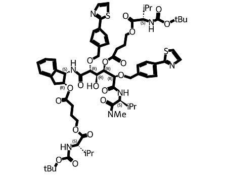 CNC(=O)[C@@H](NC(=O)[C@H](OCc1ccc(-c2nccs2)cc1)[C@H](OC(=O)CCCOC(=O)[C@@H](NC(=O)OC(C)(C)C)C(C)C)[C@@H](O)[C@@H](OCc1ccc(-c2nccs2)cc1)C(=O)N[C@H]1c2ccccc2C[C@H]1OC(=O)CCCOC(=O)[C@@H](NC(=O)OC(C)(C)C)C(C)C)C(C)C